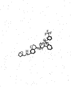 O=C(C[C@@H](NS(=O)(=O)c1cccc(C(F)(F)F)c1)c1ccccc1)N[C@@H]1CCOc2cc(CNC[C@H]3CCCO3)ccc21